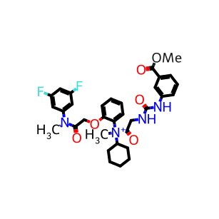 COC(=O)c1cccc(NC(=O)NCC(=O)[N+](C)(c2ccccc2OCC(=O)N(C)c2cc(F)cc(F)c2)C2CCCCC2)c1